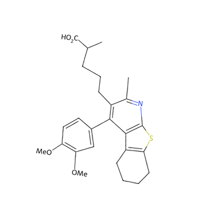 COc1ccc(-c2c(CCCC(C)C(=O)O)c(C)nc3sc4c(c23)CCCC4)cc1OC